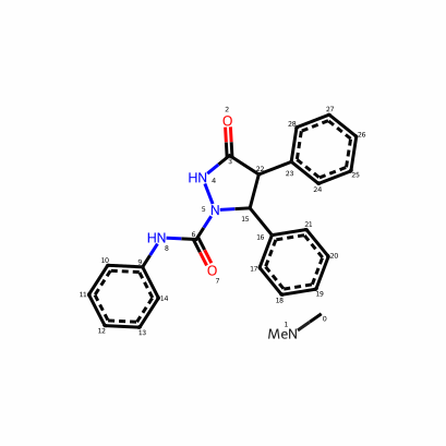 CNC.O=C1NN(C(=O)Nc2ccccc2)C(c2ccccc2)C1c1ccccc1